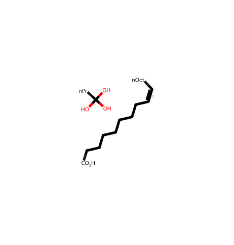 CCCC(O)(O)O.CCCCCCCC/C=C\CCCCCCCC(=O)O